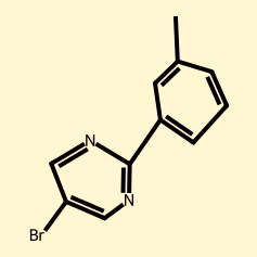 Cc1cccc(-c2ncc(Br)cn2)c1